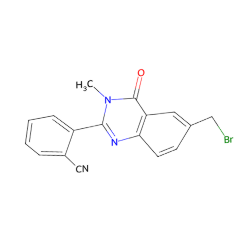 Cn1c(-c2ccccc2C#N)nc2ccc(CBr)cc2c1=O